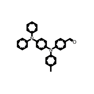 Cc1ccc(N(c2ccc(C=O)cc2)c2ccc(N(c3ccccc3)c3ccccc3)cc2)cc1